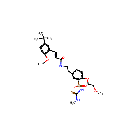 CNC(=S)NS(=O)(=O)c1cc(CCNC(=O)/C=C/c2cc(C(C)(C)C)ccc2OC)ccc1OCCOC